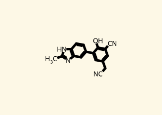 Cc1nc2cc(-c3cc(CC#N)cc(C#N)c3O)ccc2[nH]1